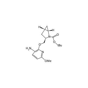 COc1ccc(N)c(OC[C@H]2C[C@@H]3C[C@@H]3N2C(=O)OC(C)(C)C)n1